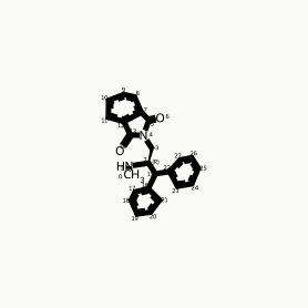 CN[C@@H](CN1C(=O)c2ccccc2C1=O)C(c1ccccc1)c1ccccc1